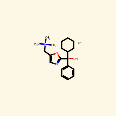 C[N+](C)(C)Cc1cnc([C@@](O)(c2ccccc2)C2CCCCC2)o1.[Br-]